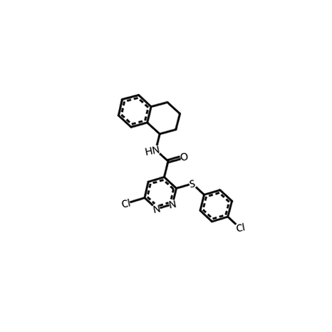 O=C(NC1CCCc2ccccc21)c1cc(Cl)nnc1Sc1ccc(Cl)cc1